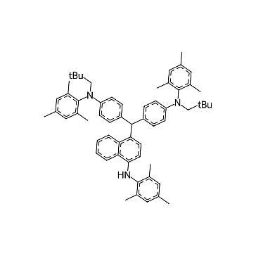 Cc1cc(C)c(Nc2ccc(C(c3ccc(N(CC(C)(C)C)c4c(C)cc(C)cc4C)cc3)c3ccc(N(CC(C)(C)C)c4c(C)cc(C)cc4C)cc3)c3ccccc23)c(C)c1